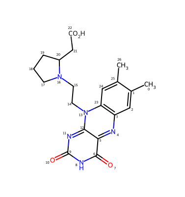 Cc1cc2nc3c(=O)[nH]c(=O)nc-3n(CCN3CCCC3CC(=O)O)c2cc1C